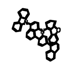 c1ccc(-c2ccc(-c3cccc4ccccc34)cc2N(c2ccc(-n3c4ccccc4c4ccccc43)cc2)c2cccc3oc4ccccc4c23)cc1